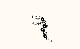 CC(=O)NCCn1c(Cc2ccc(-c3cccc(OCc4ccc(C)cc4F)n3)cc2F)nc2ccc(C(=O)O)cc21